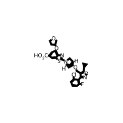 O=C(O)c1cc(OC2CCOC2)c2nc(N3C[C@@H]4C[C@H]3C[C@H]4OCc3c(-c4c(F)cccc4Cl)noc3C3CC3)sc2c1